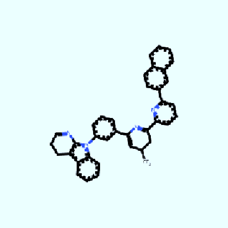 FC(F)(F)C1C=C(c2cccc(-n3c4c(c5ccccc53)CCC=N4)c2)N=C(c2cccc(-c3ccc4ccccc4c3)n2)C1